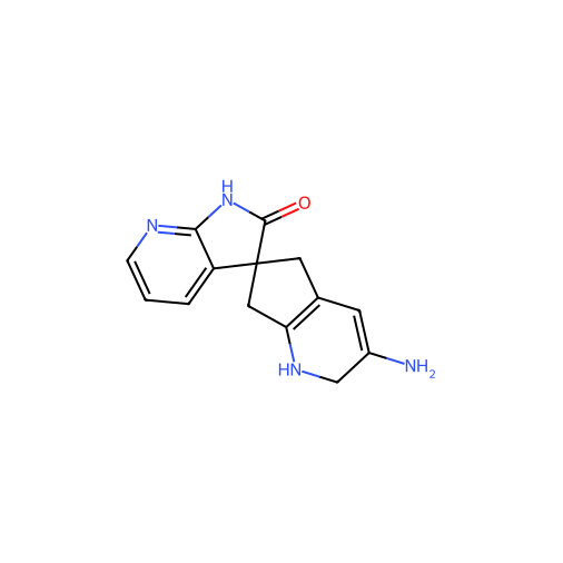 NC1=CC2=C(CC3(C2)C(=O)Nc2ncccc23)NC1